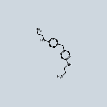 NCCNc1ccc(Cc2ccc(NCCN)cc2)cc1